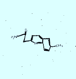 Cc1ccc2nc(CC(N)=O)ccc2c1